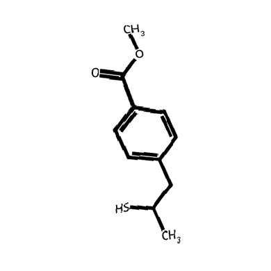 COC(=O)c1ccc(CC(C)S)cc1